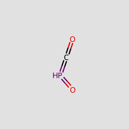 O=C=[PH]=O